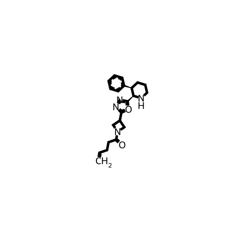 C=CCCC(=O)N1CC(c2nnc([C@@H]3NCCC[C@@H]3c3ccccc3)o2)C1